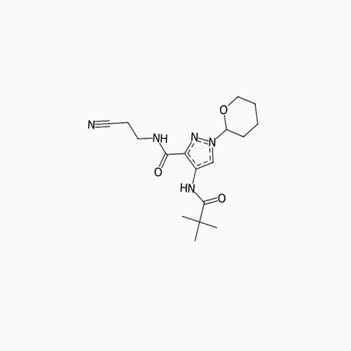 CC(C)(C)C(=O)Nc1cn(C2CCCCO2)nc1C(=O)NCCC#N